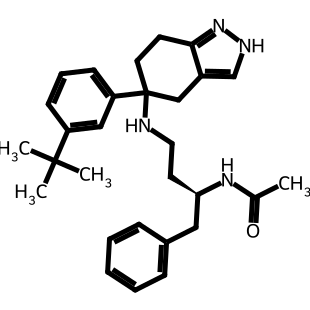 CC(=O)N[C@H](CCNC1(c2cccc(C(C)(C)C)c2)CCc2n[nH]cc2C1)Cc1ccccc1